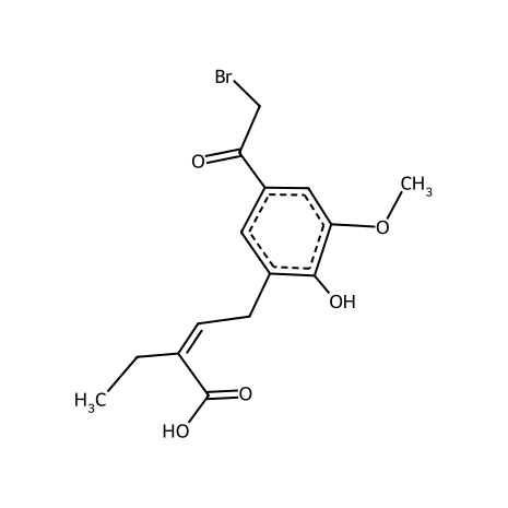 CCC(=CCc1cc(C(=O)CBr)cc(OC)c1O)C(=O)O